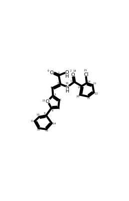 O=C(O)C(=Cc1ccc(-c2ccccc2)o1)NC(=O)c1ccccc1Cl